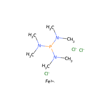 CN(C)P(N(C)C)N(C)C.[Cl-].[Cl-].[Cl-].[Fe+3]